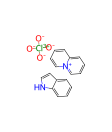 [O-][Cl+3]([O-])([O-])[O-].c1cc[n+]2ccccc2c1.c1ccc2[nH]ccc2c1